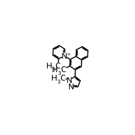 Cc1c(-c2ccnn2C)cc2ccccc2c1-[n+]1ccccc1C